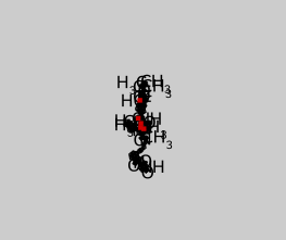 CN(CCCC#Cc1cccc2c1CN(C1CCC(=O)NC1=O)C2=O)C(=O)CCN(C(=O)[C@@H]1CCCN1C(=O)[C@@H](NC(=O)c1cc2cc(C(F)(F)P(=O)(O)OCOC(=O)C(C)(C)C)ccc2s1)C(C)(C)C)c1ccc2ccoc2c1